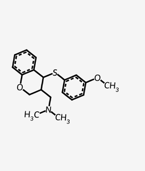 COc1cccc(SC2c3ccccc3OCC2CN(C)C)c1